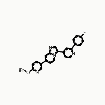 CC(C)Oc1ccc(-c2ccn3c(-c4ccnc(-c5ccc(F)cc5)c4)cnc3c2)cn1